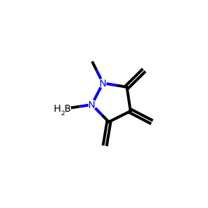 BN1C(=C)C(=C)C(=C)N1C